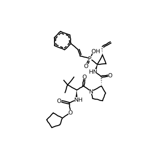 C=C[C@@H]1C[C@]1(NC(=O)[C@@H]1CCCN1C(=O)[C@@H](NC(=O)OC1CCCC1)C(C)(C)C)P(=O)(O)/C=C/c1ccccc1